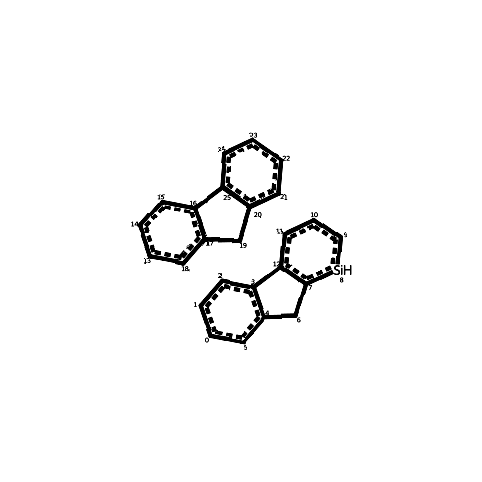 c1ccc2c(c1)Cc1[siH]cccc1-2.c1ccc2c(c1)Cc1ccccc1-2